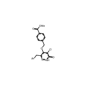 COC(=O)c1ccc(COc2c(CC(C)C)n[nH]c(=O)c2Cl)cc1